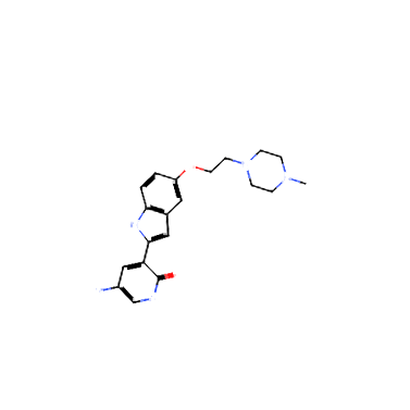 CN1CCN(CCOc2ccc3[nH]c(-c4cc(N)c[nH]c4=O)cc3c2)CC1